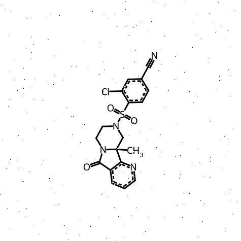 CC12CN(S(=O)(=O)c3ccc(C#N)cc3Cl)CCN1C(=O)c1cccnc12